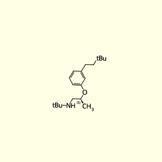 C[C@@H](CNC(C)(C)C)Oc1cccc(CCC(C)(C)C)c1